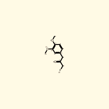 COc1ccc(CC(=O)CF)cc1OC